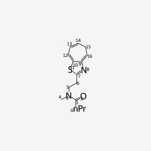 CCCC(=O)N(C)CCc1nc2c(s1)=CC=CCC=2